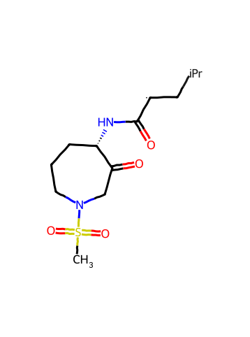 CC(C)C[CH]C(=O)N[C@H]1CCCN(S(C)(=O)=O)CC1=O